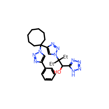 CCC(CC)(C(O)c1nnn[nH]1)n1cc(C2(n3cc(-c4ccccc4)nn3)CCCCCCC2)nn1